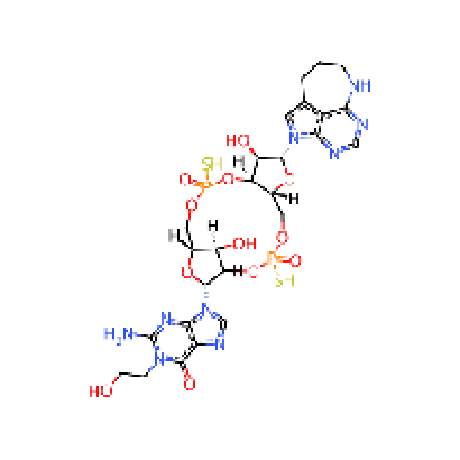 Nc1nc2c(ncn2[C@@H]2O[C@@H]3COP(=O)(S)O[C@H]4[C@@H](O)[C@H](n5cc6c7c(ncnc75)NCCC6)O[C@@H]4COP(=O)(S)O[C@@H]2[C@@H]3O)c(=O)n1CCO